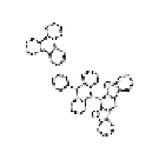 c1cc(-c2ccc3c4ccccc4c4ccccc4c3c2)cc(-c2c3ccccc3c(-c3c4oc5ccccc5c4cc4c3oc3ccccc34)c3ccccc23)c1